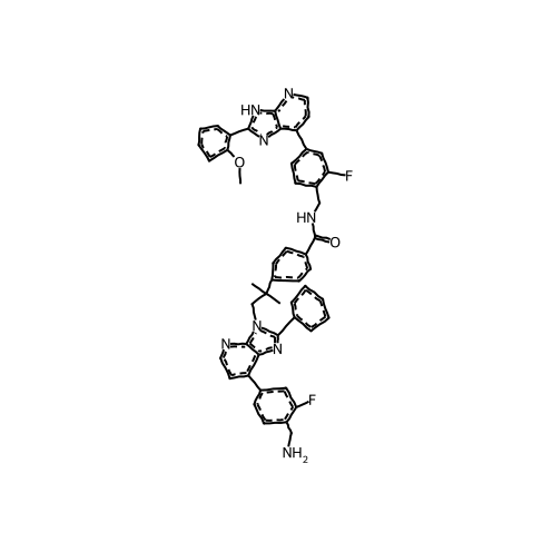 COc1ccccc1-c1nc2c(-c3ccc(CNC(=O)c4ccc(C(C)(C)Cn5c(-c6ccccc6)nc6c(-c7ccc(CN)c(F)c7)ccnc65)cc4)c(F)c3)ccnc2[nH]1